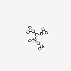 c1ccc(-c2nc(-c3ccc(-c4cncc5ccccc45)cc3)cc(-c3cc(-c4ccc5c6ccccc6c6ccccc6c5c4)cc(-c4ccc5c6ccccc6c6ccccc6c5c4)c3)n2)cc1